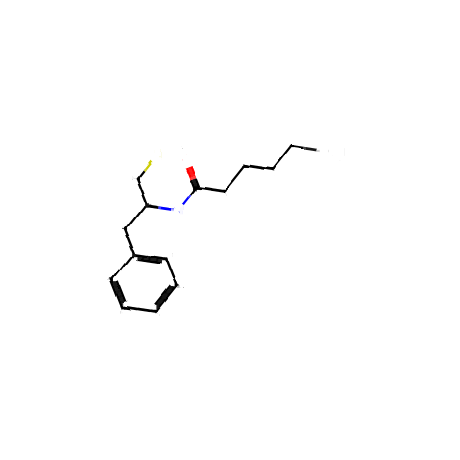 O=C(O)CCCCC(=O)NC(CS)Cc1ccccc1